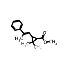 COC(=O)C1C(C=C(C)c2ccccc2)C1(C)C